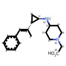 C/C(=C\c1ccccc1)[C@@H]1C[C@H]1NC1CCN(CC(=O)O)CC1